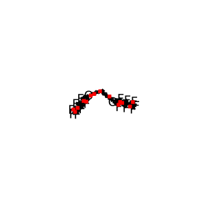 CC(CCCCCCOc1cc(F)c(-c2cc(F)c(-c3cc(F)c(F)c(F)c3)c(F)c2)c(F)c1)CCCCCCOc1cc(F)c(-c2cc(F)c(-c3cc(F)c(F)c(F)c3)c(F)c2)c(F)c1